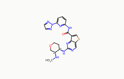 O=C(O)N[C@H]1COCC[C@H]1Nc1ncc2scc(C(=O)Nc3cccc(-n4nccn4)n3)c2n1